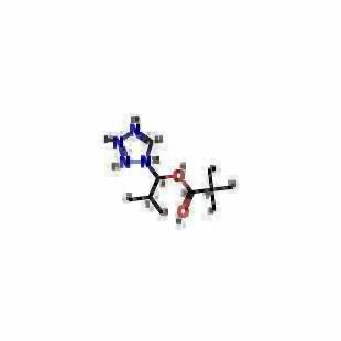 CC(C)C(OC(=O)C(C)(C)C)n1cnnn1